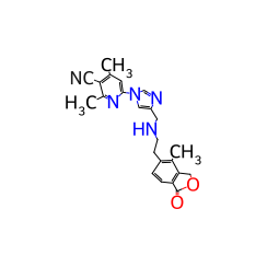 Cc1cc(-n2cnc(CNCCc3ccc4c(c3C)COC4=O)c2)nc(C)c1C#N